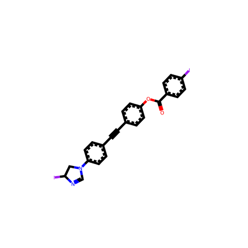 O=C(Oc1ccc(C#Cc2ccc(N3C=NC(I)C3)cc2)cc1)c1ccc(I)cc1